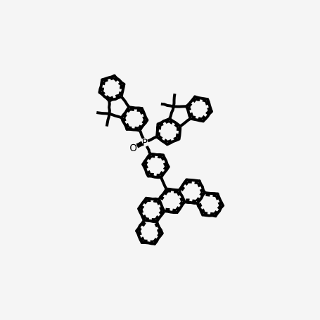 CC1(C)c2ccccc2-c2ccc(P(=O)(c3ccc(-c4c5ccc6ccccc6c5cc5c4ccc4ccccc45)cc3)c3ccc4c(c3)C(C)(C)c3ccccc3-4)cc21